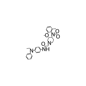 CCN(c1ccccc1)c1ccc(NC(=O)CN2CCC(N3C(=O)OCc4cccc(OC)c43)CC2)cc1